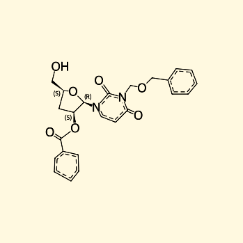 O=C(O[C@H]1C[C@@H](CO)O[C@H]1n1ccc(=O)n(COCc2ccccc2)c1=O)c1ccccc1